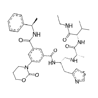 CCNC(=O)[C@@H](NC(=O)[C@H](C)NC[C@H](Cc1cscn1)NC(=O)c1cc(C(=O)N[C@H](C)c2ccccc2)cc(N2CCCOC2=O)c1)C(C)C